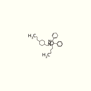 C=CCCc1c(-c2ccccc2)c(C2=CCCC=C2)nn1CC1CCC(CCC)CC1